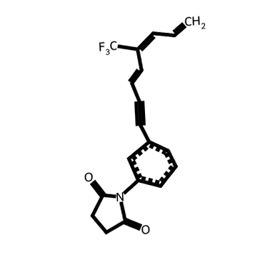 C=C/C=C(\C=C\C#Cc1cccc(N2C(=O)CCC2=O)c1)C(F)(F)F